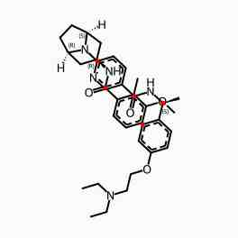 CCN(CC)CCOc1ccc([C@H](C)NC(=O)c2ccc(N3[C@@H]4CC[C@H]3C[C@@H](NC(=O)c3cccc(OC)c3C)C4)nc2)cc1